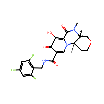 CN1C(=O)c2c(O)c(=O)c(C(=O)NCc3c(F)cc(F)cc3F)cn2[C@@H]2CCOC[C@H]21